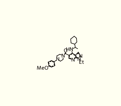 CCn1ncc2c(NC(C)C3CCCCC3)c(C(=O)N3CCN(c4ccc(OC)cc4)CC3)cnc21